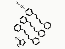 C(C=Cc1ccccc1)=Cc1ccccc1.C(C=Cc1ccccc1)=Cc1ccccc1.C(C=Cc1ccccc1)=Cc1ccccc1.C[O-].C[O-].C[O-].[Ti+3][C]1=CC=CC1